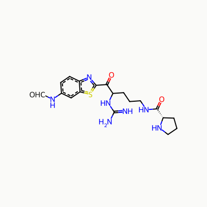 N=C(N)NC(CCCNC(=O)[C@@H]1CCCN1)C(=O)c1nc2ccc(NC=O)cc2s1